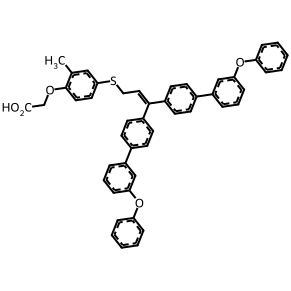 Cc1cc(SCC=C(c2ccc(-c3cccc(Oc4ccccc4)c3)cc2)c2ccc(-c3cccc(Oc4ccccc4)c3)cc2)ccc1OCC(=O)O